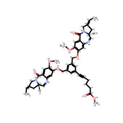 C/C=C1\C[C@H]2C=Nc3cc(OCc4cc(C#CCCCC(=O)OC)cc(COc5cc6c(cc5OC)C(=O)N5C/C(=C/C)C[C@H]5C=N6)c4)c(OC)cc3C(=O)N2C1